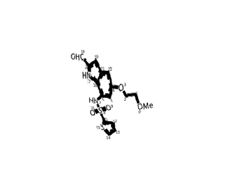 COCCOc1cc(NS(=O)(=O)c2cccs2)c2[nH]c(C=O)cc2c1